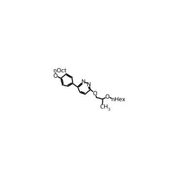 CCCCCCCCOc1ccc(-c2ccc(OCC(C)OCCCCCC)nn2)cc1